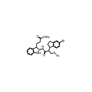 COC(=O)CCC1c2ccccc2NN1NC(=O)C(CSC(C)=O)C1CCc2cc(Br)ccc21